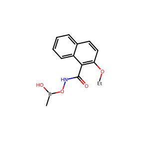 CCOc1ccc2ccccc2c1C(=O)NOB(C)O